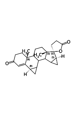 C[C@]12CCC(=O)C=C1[C@@H]1CC1C1C2CC[C@@]2(C)C1C1C[C@@H]1[C@@]21CCC(=O)O1